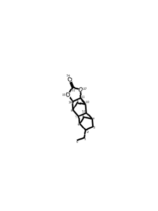 CCC1CC2CC1C1C3CC(C4OC(=O)OC34)C21